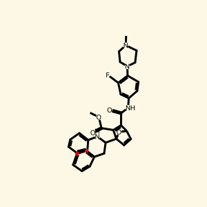 COC(=O)C1=C(C(=O)Nc2ccc(N3CCN(C)CC3)c(F)c2)C2C=CC1(C(Cc1ccccc1)Nc1ccccc1)O2